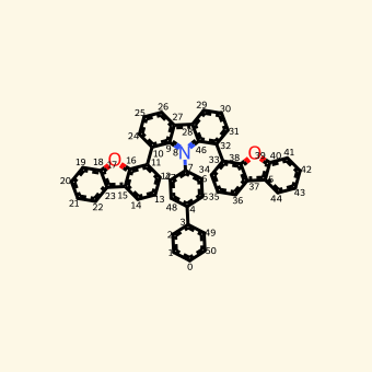 c1ccc(-c2ccc(-n3c4c(-c5cccc6c5oc5ccccc56)cccc4c4cccc(-c5cccc6c5oc5ccccc56)c43)cc2)cc1